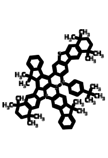 CC(C)(C)c1ccc(N2B3c4cc5c(cc4-n4c6cc7c(cc6c6c8c(c(c3c64)-c3cc4sc6cc9c(cc6c4cc32)C(C)(C)CCC9(C)C)-c2ccccc2C8(C)C)C(C)(C)CCC7(C)C)-c2ccccc2C5(C)C)cc1